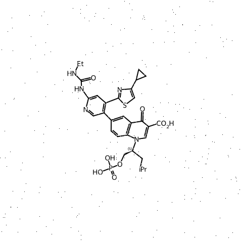 CCNC(=O)Nc1cc(-c2nc(C3CC3)cs2)c(-c2ccc3c(c2)c(=O)c(C(=O)O)cn3[C@H](COP(=O)(O)O)CC(C)C)cn1